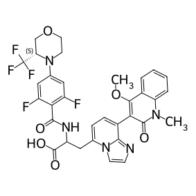 COc1c(-c2ccc(CC(NC(=O)c3c(F)cc(N4CCOC[C@H]4C(F)(F)F)cc3F)C(=O)O)n3ccnc23)c(=O)n(C)c2ccccc12